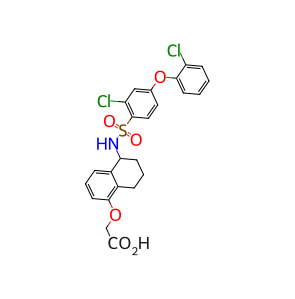 O=C(O)COc1cccc2c1CCCC2NS(=O)(=O)c1ccc(Oc2ccccc2Cl)cc1Cl